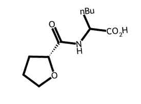 CCCCC(NC(=O)[C@H]1CCCO1)C(=O)O